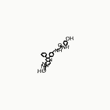 O=C(CCNCc1ccc(-c2nc3ccn4c(CO)nnc4c3cc2-c2ccccc2)cc1)Nc1ccc(O)cc1